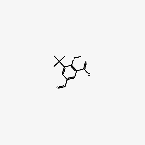 COc1c([N+](=O)[O-])cc(C=O)cc1C(C)(C)C